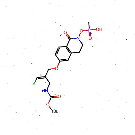 CC(C)(C)OC(=O)NC/C(=C\F)COc1ccc2c(c1)CCN(OP(C)(=O)O)C2=O